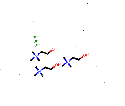 C[N+](C)(C)CCO.C[N+](C)(C)CCO.C[N+](C)(C)CCO.[Br-].[Br-].[Br-]